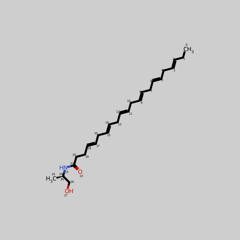 CCC=CCC=CCC=CCC=CCC=CCC=CCCC(=O)N[C@H](C)CO